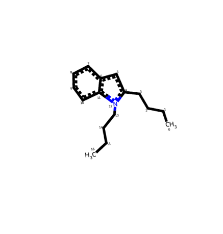 CCCCc1cc2ccccc2n1CCCC